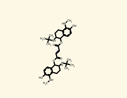 CNc1c(O)ccc2c1CCC(NC(C)(C)C)C2OC(=O)/C=C/C(=O)OC1c2ccc(O)c(NC)c2CCC1NC(C)(C)C